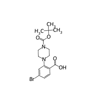 CC(C)(C)OC(=O)N1CCN(c2cc(Br)ccc2C(=O)O)CC1